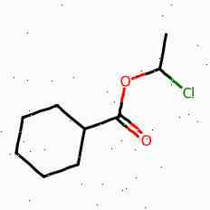 CC(Cl)OC(=O)C1CCCCC1